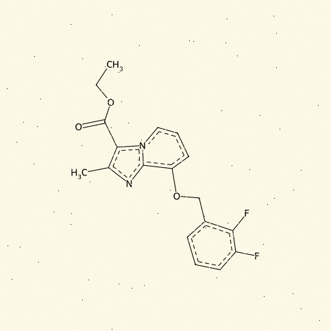 CCOC(=O)c1c(C)nc2c(OCc3cccc(F)c3F)cccn12